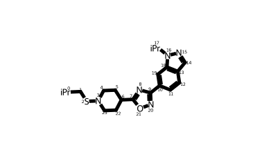 CC(C)CSN1CCC(c2nc(-c3ccc4cnn(C(C)C)c4c3)no2)CC1